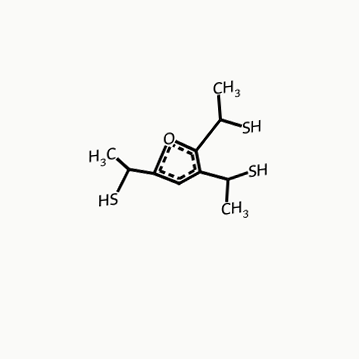 CC(S)c1cc(C(C)S)c(C(C)S)o1